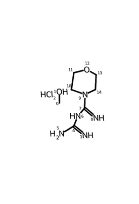 CO.Cl.N=C(N)NC(=N)N1CCOCC1